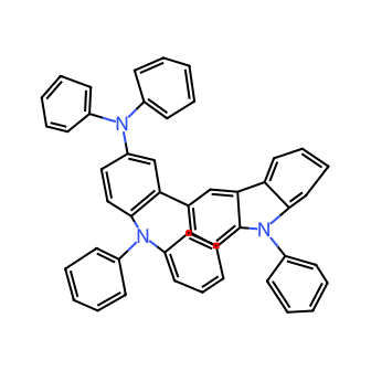 c1ccc(N(c2ccccc2)c2ccc(N(c3ccccc3)c3ccccc3)c(-c3ccc4c(c3)c3ccccc3n4-c3ccccc3)c2)cc1